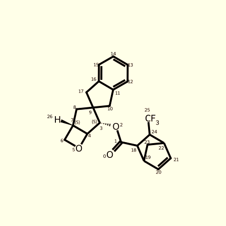 O=C(O[C@@H]1C2OC[C@@H]2CC12Cc1ccccc1C2)C1C2C=CC(C2)C1C(F)(F)F